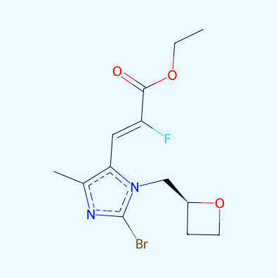 CCOC(=O)/C(F)=C/c1c(C)nc(Br)n1C[C@@H]1CCO1